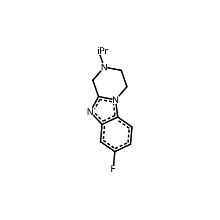 CC(C)N1CCn2c(nc3cc(F)ccc32)C1